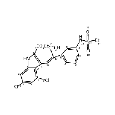 CCOC(=O)c1[nH]c2cc(Cl)cc(Cl)c2c1C=C(C(=O)O)c1cccc(NS(=O)(=O)CC)c1